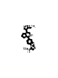 C=CC1NN=CC1C1=CNC(c2ccc3c(c2)sc2ncc(NC(C)(C)C)n23)C2=C1CCC2